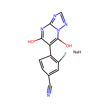 N#Cc1ccc(-c2c(O)nc3ncnn3c2O)c(F)c1.[NaH]